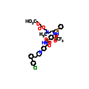 CN(CCOC(=O)COCC(=O)O)CC[C@H](CSc1ccccc1)Nc1ccc(S(=O)(=O)NC(=O)c2ccc(N3CCC(Cc4ccccc4-c4ccc(Cl)cc4)CC3)cc2)cc1S(=O)(=O)C(F)(F)F